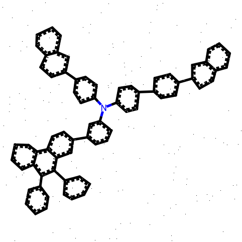 c1ccc(-c2c(-c3ccccc3)c3cc(-c4cccc(N(c5ccc(-c6ccc(-c7ccc8ccccc8c7)cc6)cc5)c5ccc(-c6ccc7ccccc7c6)cc5)c4)ccc3c3ccccc23)cc1